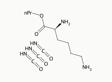 CCCOC(=O)[C@@H](N)CCCCN.N=C=O.N=C=O.N=C=O